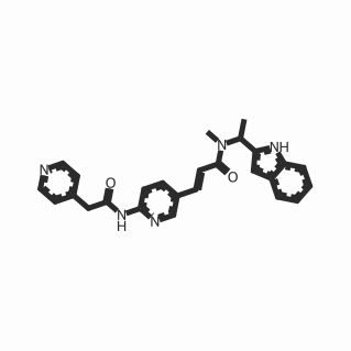 CC(c1cc2ccccc2[nH]1)N(C)C(=O)C=Cc1ccc(NC(=O)Cc2ccncc2)nc1